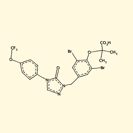 CC(C)(Oc1c(Br)cc(Cn2ncn(-c3ccc(OC(F)(F)F)cc3)c2=O)cc1Br)C(=O)O